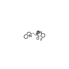 O=C(c1c(F)cccc1Br)N(O)CCc1ccc2ccccc2n1